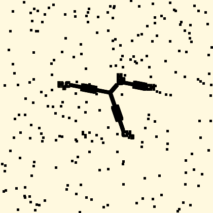 C#C[SiH2]C(C#CC)C#CC